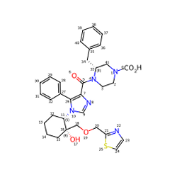 O=C(O)N1CCN(C(=O)c2ncn([C@H]3CCCC[C@]3(O)COCc3nccs3)c2-c2ccccc2)[C@H](Cc2ccccc2)C1